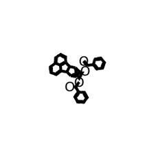 O=C(OC1C(OC(=O)c2ccccc2)C2C3c4cccc5cccc(c45)C3C1C21CC1)c1ccccc1